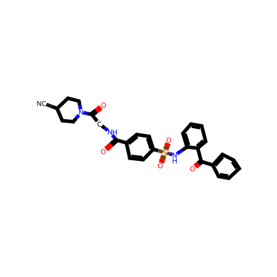 N#CC1CCN(C(=O)CNC(=O)c2ccc(S(=O)(=O)Nc3ccccc3C(=O)c3ccccc3)cc2)CC1